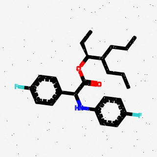 CCCC(CCC)[C@H](CC)OC(=O)C(Nc1ccc(F)cc1)c1ccc(F)cc1